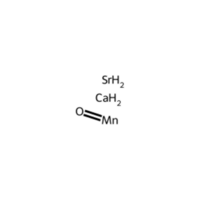 [CaH2].[O]=[Mn].[SrH2]